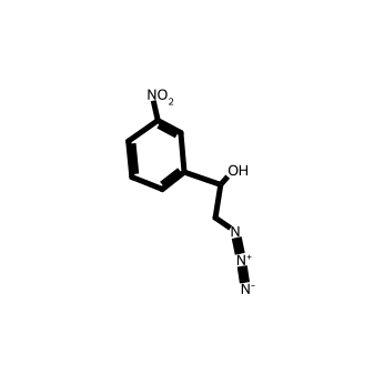 [N-]=[N+]=NCC(O)c1cccc([N+](=O)[O-])c1